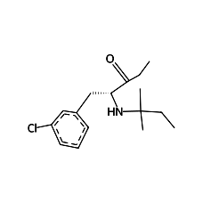 CCC(=O)[C@@H](Cc1cccc(Cl)c1)NC(C)(C)CC